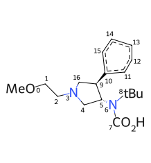 COCCN1C[C@@H](N(C(=O)O)C(C)(C)C)[C@H](c2ccccc2)C1